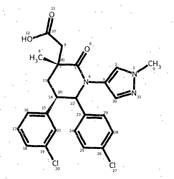 Cn1cc(N2C(=O)[C@@](C)(CC(=O)O)C[C@H](c3cccc(Cl)c3)C2c2ccc(Cl)cc2)cn1